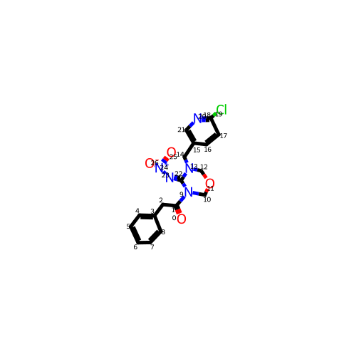 O=C(Cc1ccccc1)N1COCN(Cc2ccc(Cl)nc2)C1=N[N+](=O)[O-]